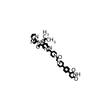 CC(C)Oc1cc2nc(C3CCN(C(=O)CN4CCC(c5ccc(C6CCC(=O)NC6=O)cc5)CC4)CC3)cn2cc1C(=O)Nc1cnn2cccnc12